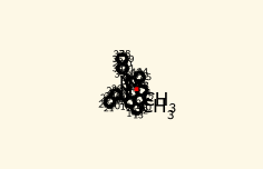 CC1(C)c2ccccc2-c2c3c1cccc3cc1c3c4ccccc4ccc3n(-c3nc(-c4ccc5ccccc5c4)c4ccccc4n3)c21